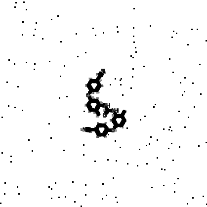 Cc1ccc(Oc2ccc(C#N)cc2)cc1NC(=O)Nc1cc(Oc2ccc(C#N)cc2)ccc1C